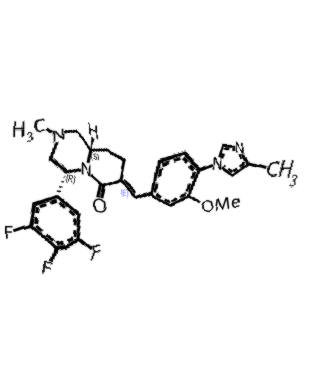 COc1cc(/C=C2\CC[C@H]3CN(C)C[C@@H](c4cc(F)c(F)c(F)c4)N3C2=O)ccc1-n1cnc(C)c1